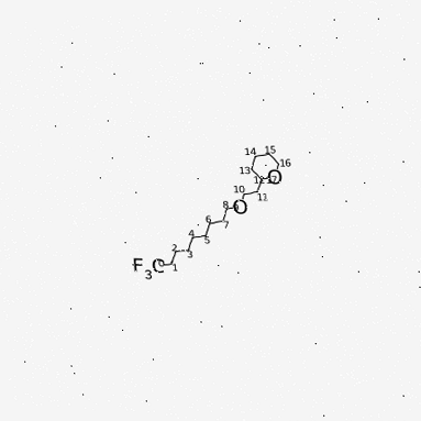 FC(F)(F)CCCCCCCCOCCC1CCCCO1